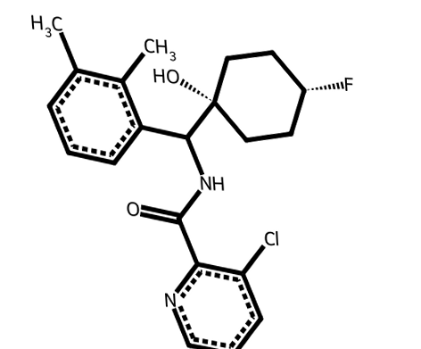 Cc1cccc(C(NC(=O)c2ncccc2Cl)[C@]2(O)CC[C@@H](F)CC2)c1C